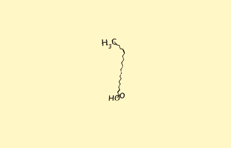 CCCC/C=C\CCCCCCCCCCCC=CC(=O)O